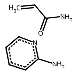 C=CC(N)=O.Nc1ccccn1